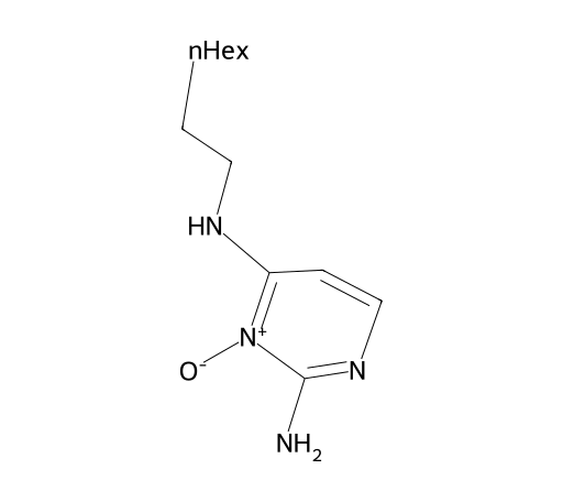 CCCCCCCCNc1ccnc(N)[n+]1[O-]